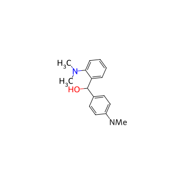 CNc1ccc(C(O)c2ccccc2N(C)C)cc1